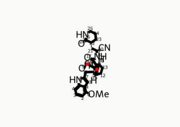 COc1cccc2[nH]c(C(=O)N3[C@H]4CC[C@@H]([C@H]3C(=O)N[C@@H](C#N)C[C@H]3CCCNC3=O)C(F)(F)C4)cc12